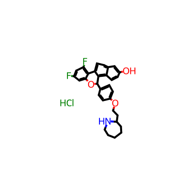 Cl.Oc1ccc2c3c(ccc2c1)-c1c(F)cc(F)cc1OC3c1ccc(OCCC2CCCCCN2)cc1